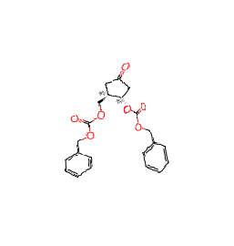 O=C1C[C@H](COC(=O)OCc2ccccc2)[C@@H](OC(=O)OCc2ccccc2)C1